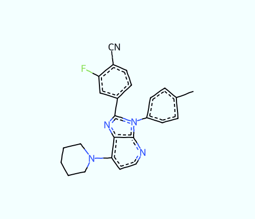 Cc1ccc(-n2c(-c3ccc(C#N)c(F)c3)nc3c(N4CCCCC4)ccnc32)cc1